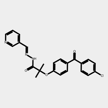 CC(C)(Oc1ccc(C(=O)c2ccc(Cl)cc2)cc1)C(=O)N/N=C/c1cccnc1